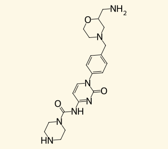 NCC1CN(Cc2ccc(-n3ccc(NC(=O)N4CCNCC4)nc3=O)cc2)CCO1